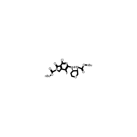 CCCCOC(=O)N[C@H]1COCC[C@H]1Nc1nc(Cl)c2c(c1F)CN(C(=O)OCCCC)C2=O